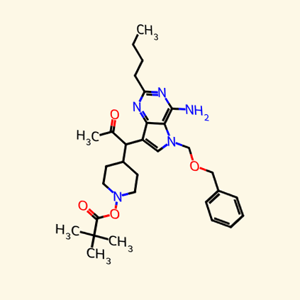 CCCCc1nc(N)c2c(n1)c(C(C(C)=O)C1CCN(OC(=O)C(C)(C)C)CC1)cn2COCc1ccccc1